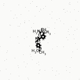 CC(C)Oc1ccc(Oc2ncc(-c3cccc(C(C)N(C)C(N)=O)c3)s2)cc1